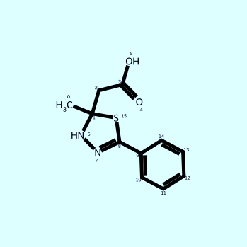 CC1(CC(=O)O)NN=C(c2ccccc2)S1